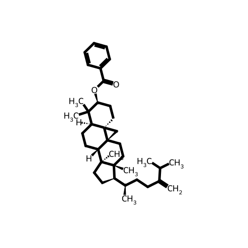 C=C(CC[C@@H](C)[C@H]1CC[C@@]2(C)[C@@H]3CC[C@H]4C(C)(C)[C@@H](OC(=O)c5ccccc5)CC[C@@]45C[C@@]35CC[C@]12C)C(C)C